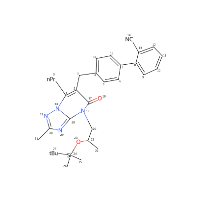 CCCc1c(Cc2ccc(-c3ccccc3C#N)cc2)c(=O)n(CC(C)O[Si](C)(C)C(C)(C)C)c2nc(C)nn12